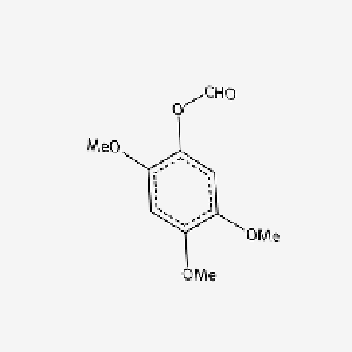 COc1cc(OC)c(OC=O)cc1OC